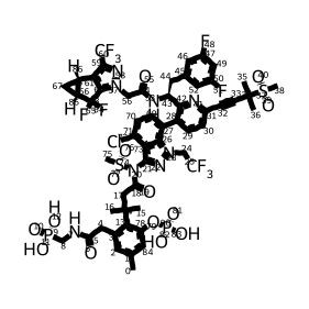 Cc1cc(CC(=O)NCP(=O)(O)O)c(C(C)(C)CC(=O)N(c2nn(CC(F)(F)F)c3c(-c4ccc(C#CC(C)(C)S(C)(=O)=O)nc4[C@H](Cc4cc(F)cc(F)c4)NC(=O)Cn4nc(C(F)(F)F)c5c4C(F)(F)[C@@H]4C[C@H]54)ccc(Cl)c23)S(C)(=O)=O)c(OP(=O)(O)O)c1